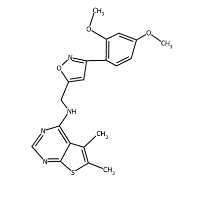 COc1ccc(-c2cc(CNc3ncnc4sc(C)c(C)c34)on2)c(OC)c1